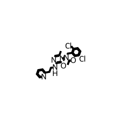 CC(=O)N(Cc1cc(Cl)ccc1Cl)n1c(C)cnc(NCCc2ccccn2)c1=O